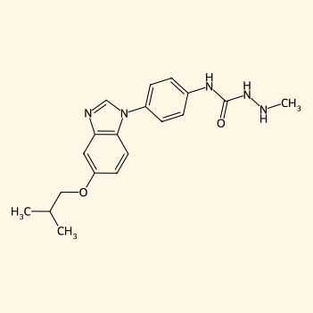 CNNC(=O)Nc1ccc(-n2cnc3cc(OCC(C)C)ccc32)cc1